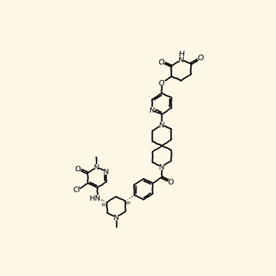 CN1C[C@H](Nc2cnn(C)c(=O)c2Cl)C[C@H](c2ccc(C(=O)N3CCC4(CC3)CCN(c3ccc(OC5CCC(=O)NC5=O)cn3)CC4)cc2)C1